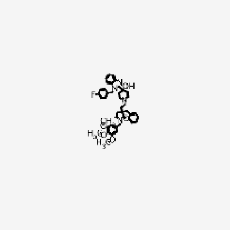 COc1cc(CN2CCC(CCN3CCC(O)(c4nc5ccccc5n4Cc4ccc(F)cc4)CC3)(Cc3ccccc3)C2=O)cc(OC)c1OC